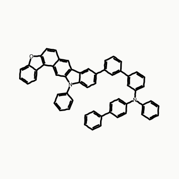 c1ccc(-c2ccc(N(c3ccccc3)c3cccc(-c4cccc(-c5ccc6c(c5)c5cc7ccc8oc9ccccc9c8c7cc5n6-c5ccccc5)c4)c3)cc2)cc1